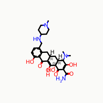 CN1CCC(NCc2ccc(O)c3c2C[C@@H]2C[C@@H]4[C@@H](N(C)C)C(O)=C(C(N)=O)C(=O)[C@@]4(O)C(O)=C2C3=O)CC1